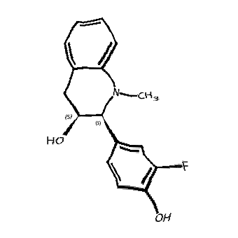 CN1c2ccccc2C[C@H](O)[C@@H]1c1ccc(O)c(F)c1